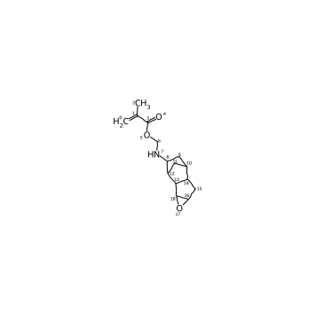 C=C(C)C(=O)OCNC1CC2CC1C1C2CC2OC21